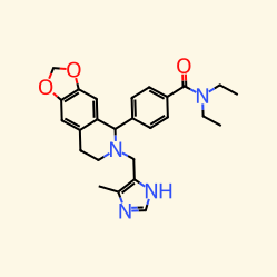 CCN(CC)C(=O)c1ccc(C2c3cc4c(cc3CCN2Cc2[nH]cnc2C)OCO4)cc1